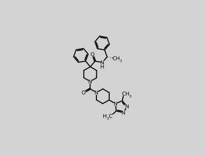 Cc1nnc(C)n1C1CCN(C(=O)N2CCC(C(=O)N[C@@H](C)c3ccccc3)(c3ccccc3)CC2)CC1